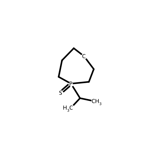 CC(C)P1(=S)CCCCCC1